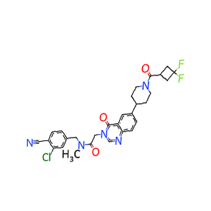 CN(Cc1ccc(C#N)c(Cl)c1)C(=O)Cn1cnc2ccc(C3CCN(C(=O)C4CC(F)(F)C4)CC3)cc2c1=O